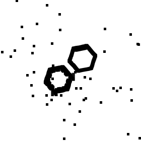 C1=CCCCC1.c1cncnc1